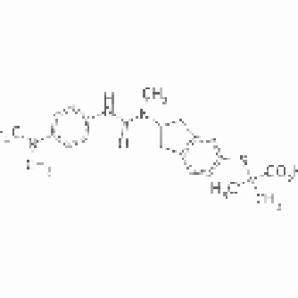 CN(C)c1ccc(NC(=O)N(C)C2Cc3ccc(SC(C)(C)C(=O)O)cc3C2)cc1